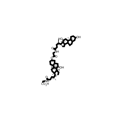 C[C@H](CCC(=O)NCC(=O)O)[C@H]1CC[C@H]2[C@@H]3[C@H](O)CC4C[C@H](OC(=O)CNC(=O)CC[C@@H](C)[C@H]5CCC6C7CCC8C[C@H](O)CC[C@]8(C)C7C[C@H](O)[C@@]65C)CC[C@]4(C)[C@H]3CC[C@]12C